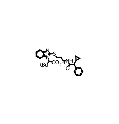 CC(C)(C)C(C(=O)O)n1c(SCCCNC(=O)C(c2ccccc2)C2CC2)nc2ccccc21